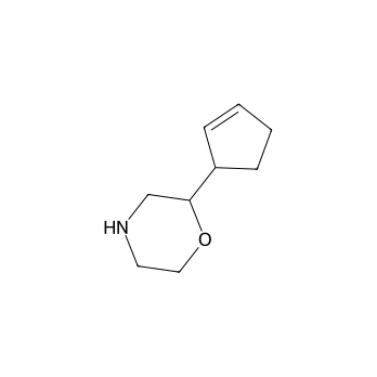 C1=CC(C2CNCCO2)CC1